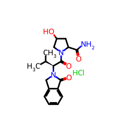 CC(C)[C@@H](C(=O)N1CC(O)CC1C(N)=O)N1Cc2ccccc2C1=O.Cl